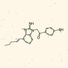 CBc1ccc(C(=O)Cn2c(=N)n(C)c3c(/C=C/CCC)cccc32)cc1